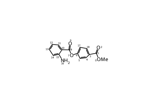 COC(=O)c1ccc(OC(=O)c2ccccc2N)cc1